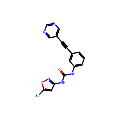 CC(C)(C)c1cc(NC(=O)Nc2cccc(C#Cc3cncnc3)c2)no1